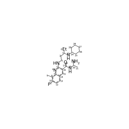 CCC(CCNc1nc2c(C)c(F)ccc2cc1C(=O)NC(C)N)NC1CCCCC1